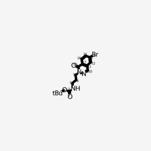 CC(C)(C)OC(=O)NCCCn1ncc2cc(Br)ccc2c1=O